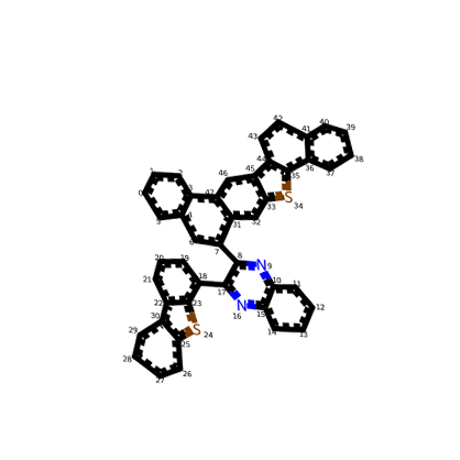 c1ccc2c(c1)cc(-c1nc3ccccc3nc1-c1cccc3c1sc1ccccc13)c1cc3sc4c5ccccc5ccc4c3cc12